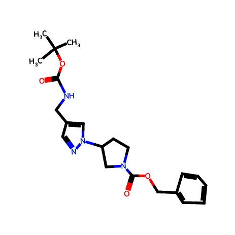 CC(C)(C)OC(=O)NCc1cnn(C2CCN(C(=O)OCc3ccccc3)C2)c1